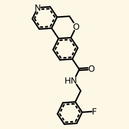 O=C(NCc1ccccc1F)c1ccc2c(c1)OCc1cnccc1-2